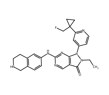 CCn1c(=O)c2cnc(Nc3ccc4c(c3)CCNC4)nc2n1-c1ccnc(C2(CF)CC2)c1